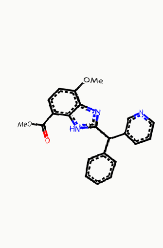 COC(=O)c1ccc(OC)c2nc(C(c3ccccc3)c3cccnc3)[nH]c12